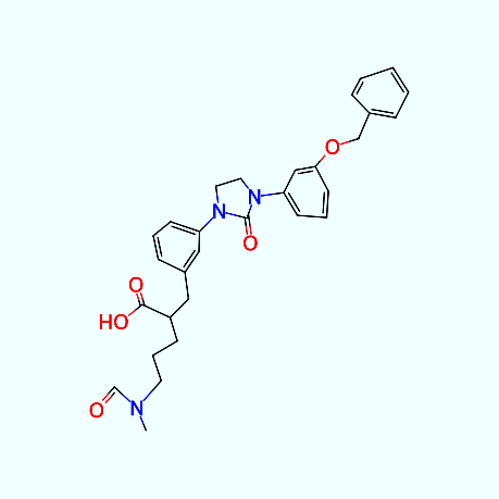 CN(C=O)CCCC(Cc1cccc(N2CCN(c3cccc(OCc4ccccc4)c3)C2=O)c1)C(=O)O